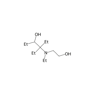 CCC(O)C(CC)(CC)N(CC)CCO